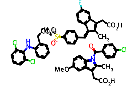 CC1=C(CC(=O)O)c2cc(F)ccc2/C1=C\c1ccc([S+](C)[O-])cc1.COc1ccc2c(c1)c(CC(=O)O)c(C)n2C(=O)c1ccc(Cl)cc1.O=C(O)Cc1ccccc1Nc1c(Cl)cccc1Cl